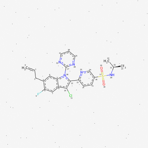 C=CCc1cc2c(cc1F)c(Cl)c(-c1ccc(S(=O)(=O)N[C@@H](C)C(F)(F)F)cn1)n2-c1ncccn1